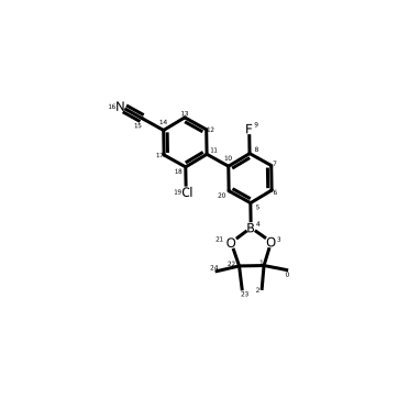 CC1(C)OB(c2ccc(F)c(-c3ccc(C#N)cc3Cl)c2)OC1(C)C